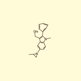 CC1CN1c1ccc2c(c1)c(CO)c(-c1ccccc1)n2C